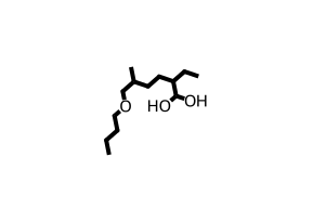 CCCCOCC(C)CCC(CC)C(O)O